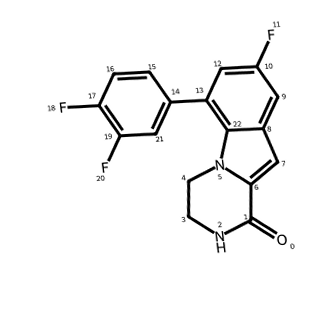 O=C1NCCn2c1cc1cc(F)cc(-c3ccc(F)c(F)c3)c12